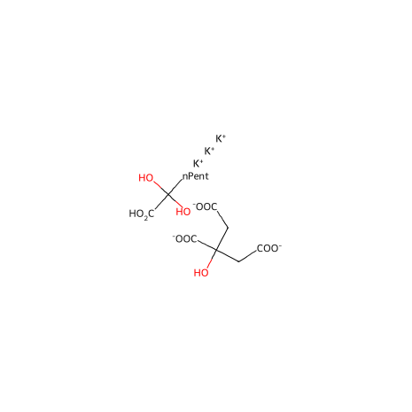 CCCCCC(O)(O)C(=O)O.O=C([O-])CC(O)(CC(=O)[O-])C(=O)[O-].[K+].[K+].[K+]